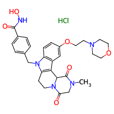 CN1CC(=O)N2CCc3c(c4cc(OCCN5CCOCC5)ccc4n3Cc3ccc(C(=O)NO)cc3)C2C1=O.Cl